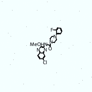 COc1nc2ccc(Cl)cc2nc1NC(=O)N1CCN(c2ccccc2F)CC1